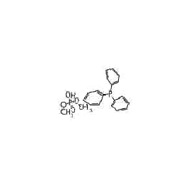 COP(=O)(O)OC.c1ccc(P(c2ccccc2)c2ccccc2)cc1